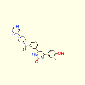 Cc1cc(-c2cc(-c3cccc(C(=O)N4CCN(c5cnccn5)CC4)c3)[nH]c(=O)n2)ccc1O